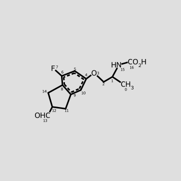 CC(COc1cc(F)c2c(c1)CC(C=O)C2)NC(=O)O